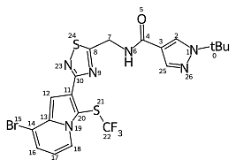 CC(C)(C)n1cc(C(=O)NCc2nc(-c3cc4c(Br)cccn4c3SC(F)(F)F)ns2)cn1